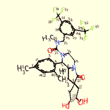 Cc1ccc(C2[C@@H]3CC(CCO)(CCO)C(=O)N3CCN2C(=O)N(C)Cc2cc(C(F)(F)F)cc(C(F)(F)F)c2)c(C)c1